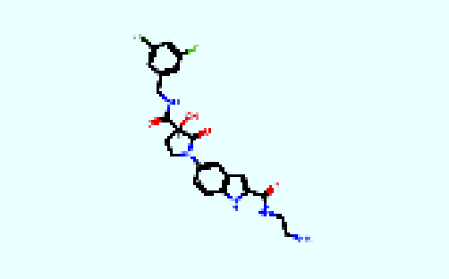 NCCNC(=O)c1cc2cc(N3CC[C@](O)(C(=O)NCc4cc(F)cc(Cl)c4)C3=O)ccc2[nH]1